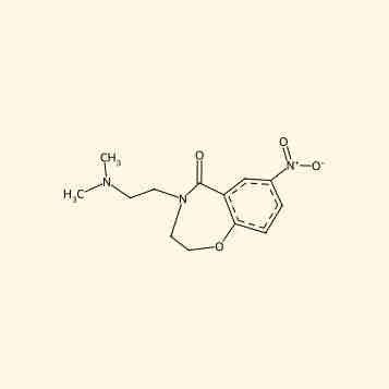 CN(C)CCN1CCOc2ccc([N+](=O)[O-])cc2C1=O